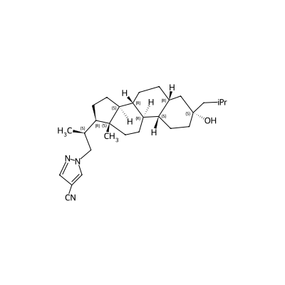 CC(C)C[C@@]1(O)CC[C@H]2[C@H](CC[C@@H]3[C@@H]2CC[C@]2(C)[C@@H]([C@H](C)Cn4cc(C#N)cn4)CC[C@@H]32)C1